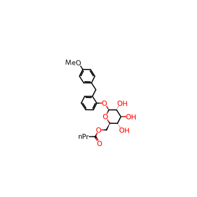 CCCC(=O)OC[C@H]1O[C@@H](Oc2ccccc2Cc2ccc(OC)cc2)[C@H](O)[C@@H](O)[C@@H]1O